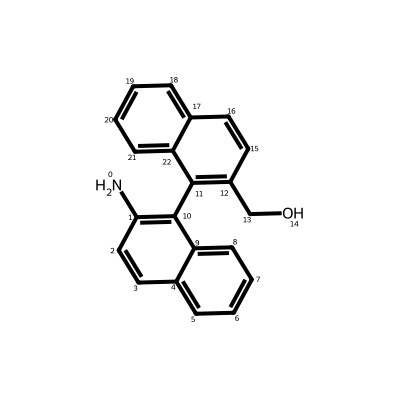 Nc1ccc2ccccc2c1-c1c(CO)ccc2ccccc12